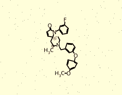 COc1ccc(Oc2cccc(CN3CC[C@@]4(C=CC(=O)N4c4cccc(F)c4)C[C@H]3C)c2)cc1